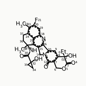 CC[C@@]1(O)C(=O)OCc2c1cc1n(c2=O)Cc2c-1nc1cc(F)c(C)c3c1c2C(C)(NC(=O)C1(O)CC1)CC3